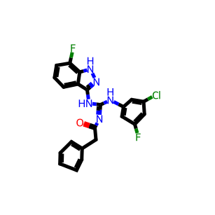 O=C(Cc1ccccc1)/N=C(/Nc1cc(F)cc(Cl)c1)Nc1n[nH]c2c(F)cccc12